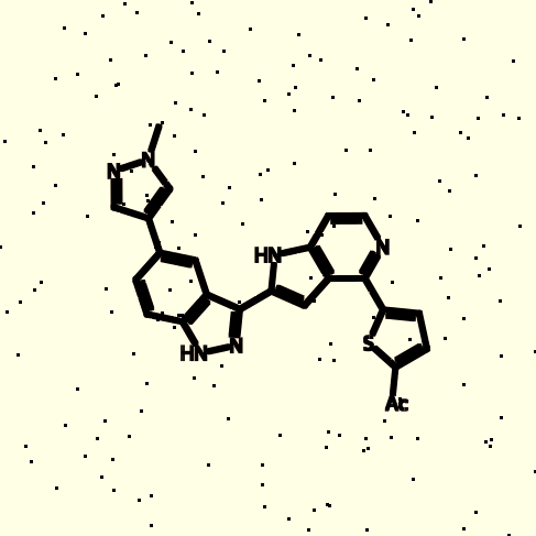 CC(=O)c1ccc(-c2nccc3[nH]c(-c4n[nH]c5ccc(-c6cnn(C)c6)cc45)cc23)s1